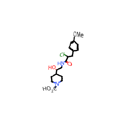 COc1ccc(CC(Cl)C(=O)NCC(O)C2CCN(C(=O)O)CC2)cc1